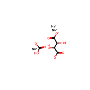 O=C([O-])C(O)C(O)C(=O)[O-].O=C([O-])O.[Na+].[Na+].[Na+]